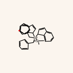 C[SiH](C)[Hf]([CH2]c1ccccc1)([CH2]c1ccccc1)([CH]1C=Cc2ccccc21)[CH]1C=Cc2ccccc21